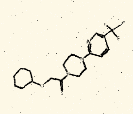 FC(F)(F)c1ccc(N2CCN(C(=S)COC3CCCCC3)CC2)nc1